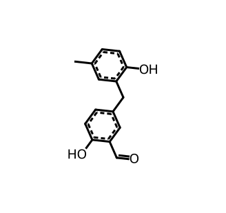 Cc1ccc(O)c(Cc2ccc(O)c(C=O)c2)c1